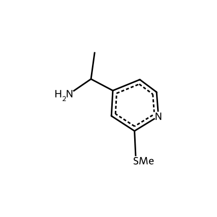 CSc1cc(C(C)N)ccn1